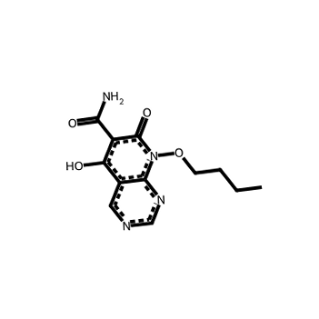 CCCCOn1c(=O)c(C(N)=O)c(O)c2cncnc21